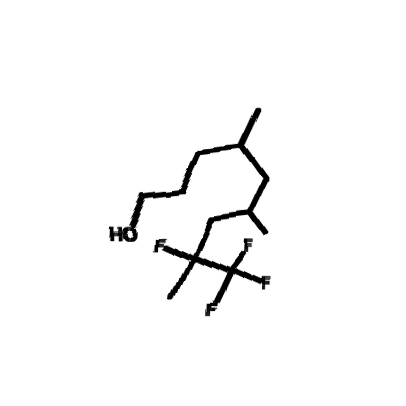 CC(CCCO)CC(C)CC(C)(F)C(F)(F)F